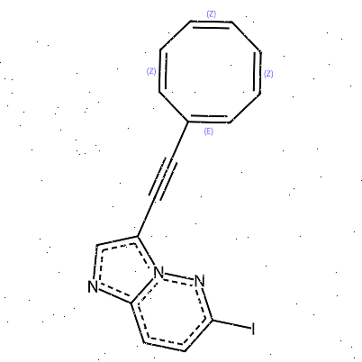 Ic1ccc2ncc(C#CC3=C/C=C\C=C/C=C\3)n2n1